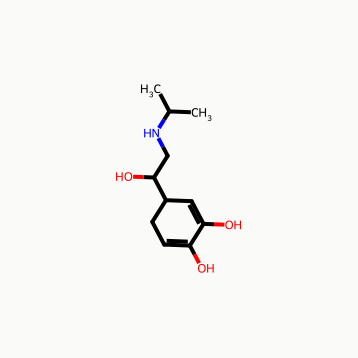 CC(C)NCC(O)C1C=C(O)C(O)=CC1